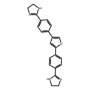 c1cc(-c2coc(-c3ccc(C4=NCCN4)cc3)c2)ccc1C1=NCCN1